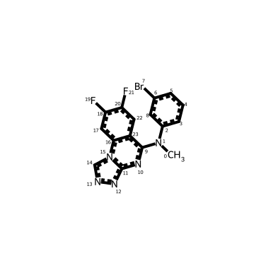 CN(c1cccc(Br)c1)c1nc2nncn2c2cc(F)c(F)cc12